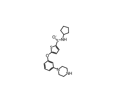 [O-][S+](NC1CCCC1)c1ccc(Oc2cccc(N3CCNCC3)c2)s1